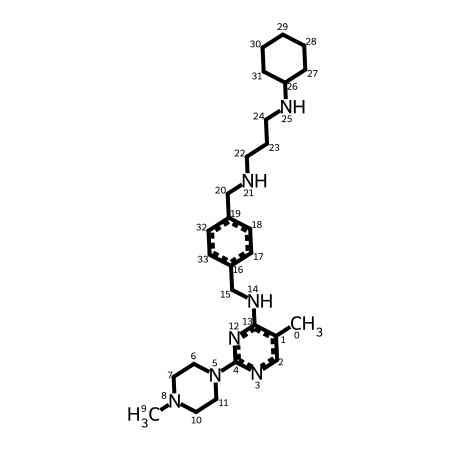 Cc1cnc(N2CCN(C)CC2)nc1NCc1ccc(CNCCCNC2CCCCC2)cc1